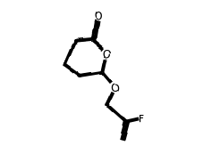 C=C(F)COC1CCCC(=O)O1